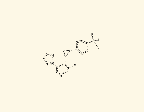 Fc1cncc(-n2nccn2)c1C1CC1c1ccc(C(F)(F)F)cc1